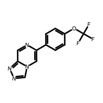 FC(F)(F)Oc1ccc(-c2cn3cnnc3cn2)cc1